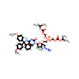 COc1ccc(C(Nc2ccn([C@@H]3O[C@@](CCP(=O)(OCOC(=O)OC(C)C)OCOC(=O)OC(C)C)(CN=[N+]=[N-])[C@@H](C)[C@H]3F)c(=O)n2)(c2ccccc2)c2ccc(OC)cc2)cc1